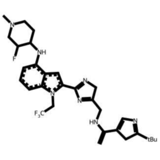 C=C(NCC1=NC(c2cc3c(NC4CCN(C)CC4F)cccc3n2CC(F)(F)F)=NC1)C1=CN=C(C(C)(C)C)C1